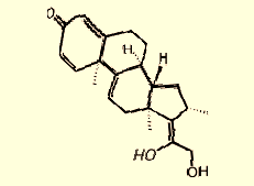 C[C@H]1C[C@H]2[C@@H]3CCC4=CC(=O)C=C[C@]4(C)C3=CC[C@]2(C)C1=C(O)CO